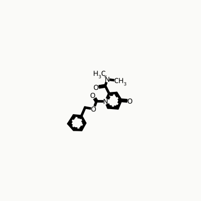 CN(C)C(=O)c1cc(=O)ccn1C(=O)OCc1ccccc1